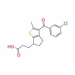 Cc1sc2c(c1C(=O)c1cccc(Cl)c1)CCC2CCC(=O)O